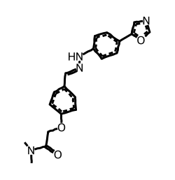 CN(C)C(=O)COc1ccc(C=NNc2ccc(-c3cnco3)cc2)cc1